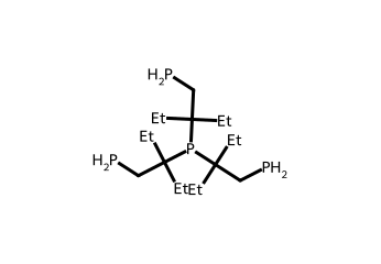 CCC(CC)(CP)P(C(CC)(CC)CP)C(CC)(CC)CP